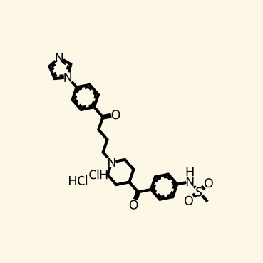 CS(=O)(=O)Nc1ccc(C(=O)C2CCN(CCCC(=O)c3ccc(-n4ccnc4)cc3)CC2)cc1.Cl.Cl